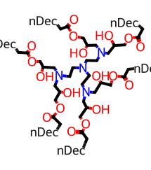 CCCCCCCCCCCC(=O)OCC(O)CN(CCN(CCN(CC(O)COC(=O)CCCCCCCCCCC)CC(O)COC(=O)CCCCCCCCCCC)CCN(CC(O)COC(=O)CCCCCCCCCCC)CC(O)COC(=O)CCCCCCCCCCC)CC(O)COC(=O)CCCCCCCCCCC